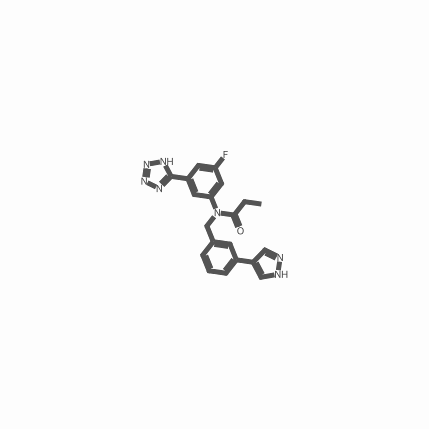 CCC(=O)N(Cc1cccc(-c2cn[nH]c2)c1)c1cc(F)cc(-c2nnn[nH]2)c1